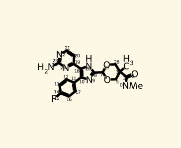 CNC(=O)C1(C)COC(c2nc(-c3ccc(F)cc3)c(-c3ccnc(N)n3)[nH]2)OC1